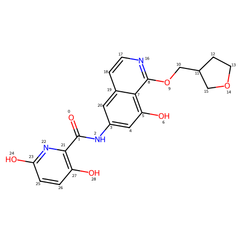 O=C(Nc1cc(O)c2c(OCC3CCOC3)nccc2c1)c1nc(O)ccc1O